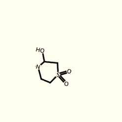 O=S1(=O)CC[N]C(O)C1